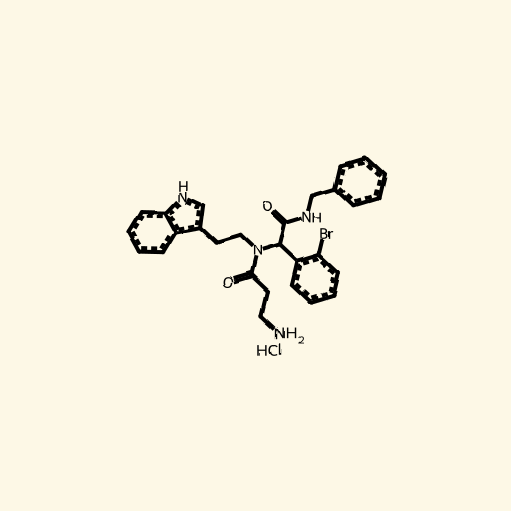 Cl.NCCC(=O)N(CCc1c[nH]c2ccccc12)C(C(=O)NCc1ccccc1)c1ccccc1Br